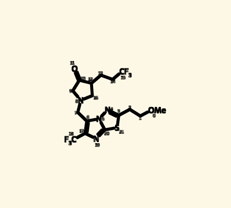 COCCc1nn2c(CN3CC(=O)C(CCC(F)(F)F)C3)c(C(F)(F)F)nc2s1